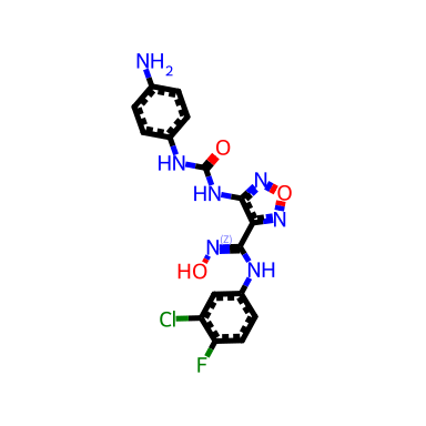 Nc1ccc(NC(=O)Nc2nonc2/C(=N/O)Nc2ccc(F)c(Cl)c2)cc1